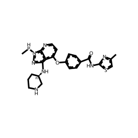 CPn1nc(N[C@@H]2CCCNC2)c2c(Oc3ccc(C(=O)Nc4nc(C)cs4)cc3)ccnc21